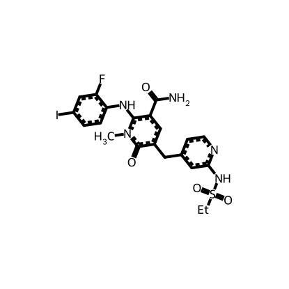 CCS(=O)(=O)Nc1cc(Cc2cc(C(N)=O)c(Nc3ccc(I)cc3F)n(C)c2=O)ccn1